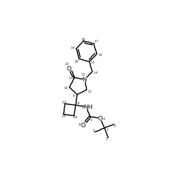 CC(C)(C)OC(=O)NC1(C2CC(=O)N(Cc3ccccc3)C2)CCC1